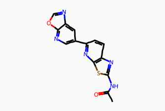 CC(=O)Nc1nc2ccc(-c3cnc4ocnc4c3)nc2s1